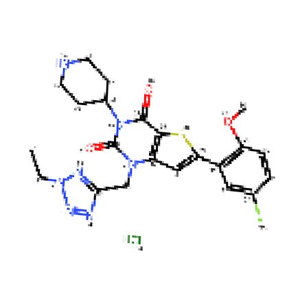 CCn1nnc(Cn2c(=O)n(C3CCNCC3)c(=O)c3sc(-c4cc(F)ccc4OC)cc32)n1.Cl